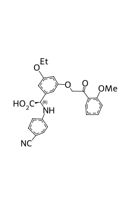 CCOc1cc(OCC(=O)c2ccccc2OC)cc([C@@H](Nc2ccc(C#N)cc2)C(=O)O)c1